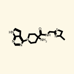 CC1CSC(CNC(=O)C2(N)CCN(c3ncnc4[nH]ccc34)CC2)=N1